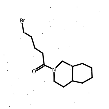 O=C(CCCCBr)N1CCC2CCCCC2C1